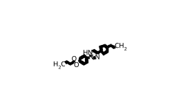 C=CCC(=O)Oc1ccc(N2C=NC(c3ccc(CC=C)cc3)=CN2)cc1